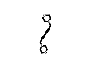 C(C#CCN1CCOCC1)#CCN1CCOCC1